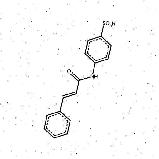 O=C(C=Cc1ccccc1)Nc1ccc(S(=O)(=O)O)cc1